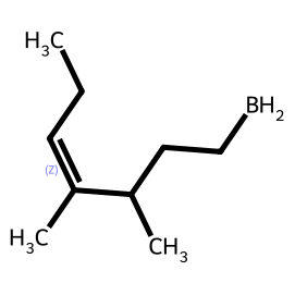 BCCC(C)/C(C)=C\CC